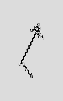 CCOCCOCCOC(=O)CCCCCCCCCCCCCCCn1c(C)nc2nc(Cl)nc(Cl)c21